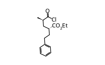 CCOC(=O)[C@H](CCc1ccccc1)C[C@@H](C)C(=O)Cl